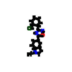 CC(C)n1ccc2cc(-c3nc(-c4ccccc4Cl)no3)ccc21